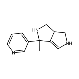 CC1(c2cccnc2)NCC2CNC=C21